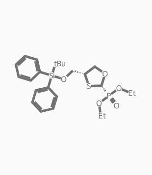 CCOP(=O)(OCC)[C@H]1OC[C@@H](CO[Si](c2ccccc2)(c2ccccc2)C(C)(C)C)S1